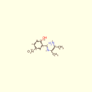 CC(N)=C(C)N=Cc1cc([N+](=O)[O-])ccc1O